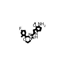 COc1c(N)ccc2[nH]c(-c3nc4n(n3)CCCOC4c3ccc(F)cc3C)cc12